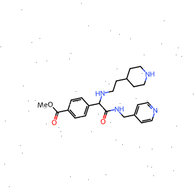 COC(=O)c1ccc(C(NCCC2CCNCC2)C(=O)NCc2ccncc2)cc1